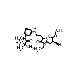 CCOC(=O)C(C#N)CC1SC(CCNc2cccc(N(C)C(=O)C(C)(C)C)c2)C(=O)N1CC